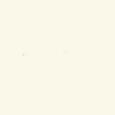 CC(=O)CC(=O)ONc1ccc(NC(C)=O)cc1